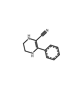 N#CC1=C(c2ccccc2)NCCN1